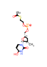 C[C@H]1C[C@@H](CO[PH](=O)OCCSC(=O)C(C)(C)C)O[C@H]1N1C=CC(O)NC1=O